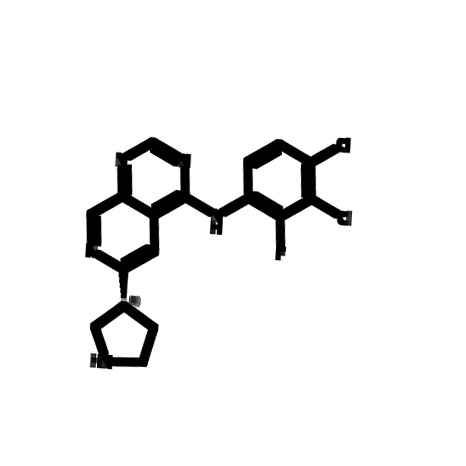 Fc1c(Nc2ncnc3cnc([C@@H]4CCNC4)cc23)ccc(Cl)c1Cl